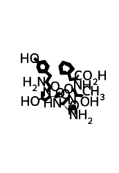 C[C@@H](O)[C@H](NC(=O)[C@H](CC(N)=O)NC(=O)[C@@H]1C[C@@H](O)CN1C(=O)[C@H](N)Cc1ccc(O)cc1)C(=O)N[C@@H](Cc1ccccc1)C(=O)O